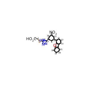 O=C(O)CSc1nnc(-c2cc(-c3cccc4c3oc3ccccc34)cc([N+](=O)[O-])c2)[nH]1